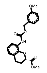 COC(=O)[C@@H]1CCc2cccc(NC(=O)OCc3cccc(OC)c3)c2O1